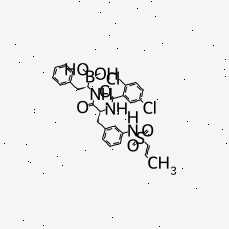 CC=CS(=O)(=O)Nc1cccc(C[C@H](NC(=O)c2cc(Cl)ccc2Cl)C(=O)N[C@@H](Cc2ccccc2)B(O)O)c1